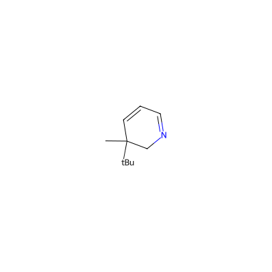 CC(C)(C)C1(C)C=CC=NC1